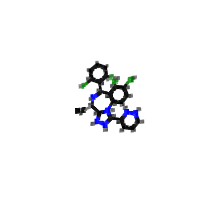 C[C@@H]1N=C(c2c(F)cccc2F)c2c(ccc(Cl)c2Br)-n2c(-c3cccnn3)nnc21